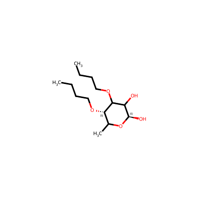 CCCCOC1C(O)[C@@H](O)OC(C)[C@@H]1OCCCC